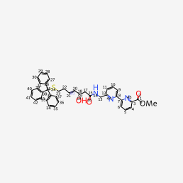 COC(=O)c1cccc(-c2cccc(CNC(=O)C[C@H](O)/C=C/CCSC(c3ccccc3)(c3ccccc3)c3ccccc3)n2)n1